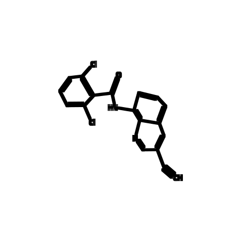 C#Cc1cnc2c(NC(=O)c3c(Cl)cccc3Cl)cccc2c1